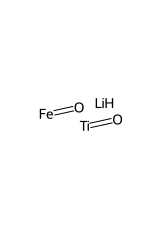 [LiH].[O]=[Fe].[O]=[Ti]